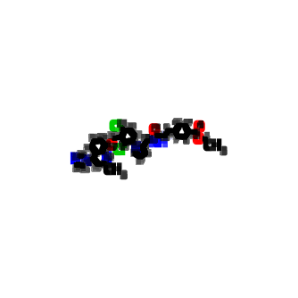 CCOC(=O)c1ccc(/C=C/C(=O)NCc2cccn2-c2ccc(Cl)c(COc3cccc4c(-n5ccnc5)cc(C)nc34)c2Cl)cc1